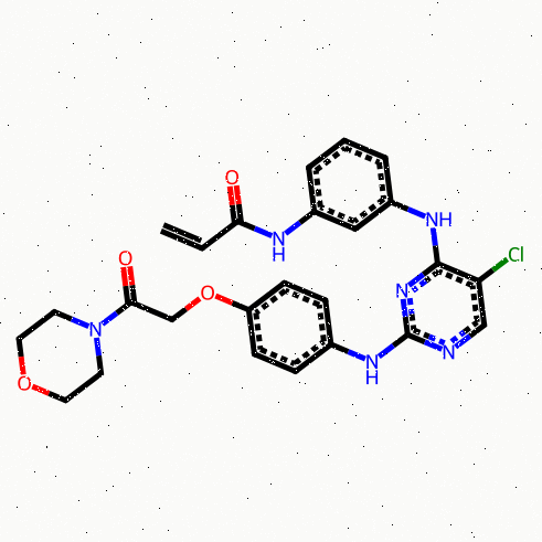 C=CC(=O)Nc1cccc(Nc2nc(Nc3ccc(OCC(=O)N4CCOCC4)cc3)ncc2Cl)c1